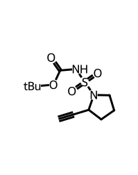 C#CC1CCCN1S(=O)(=O)NC(=O)OC(C)(C)C